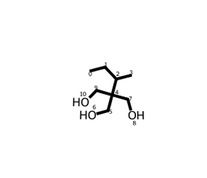 CCC(C)C(CO)(CO)CO